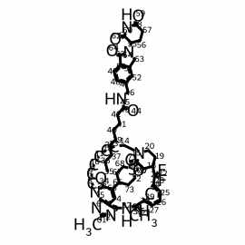 Cc1nc2c3c(n1)N(CCCCCCCN1CCC(CC1)C(F)(F)c1cccc(c1)[C@@H](C)N2)C(OCCCCCCCCC(=O)NCc1ccc2c(c1)CN(C1CCC(=O)NC1=O)C2=O)C(C1CCS(=O)(=O)CC1)=C3